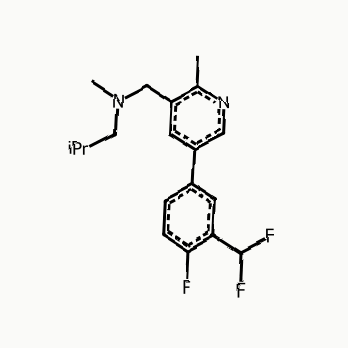 Cc1ncc(-c2ccc(F)c(C(F)F)c2)cc1CN(C)CC(C)C